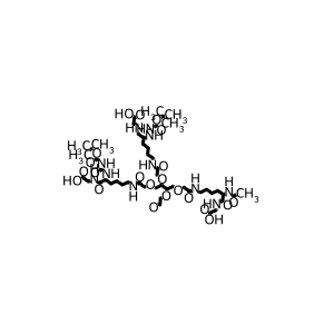 CC(=O)NC(CCCCNC(=O)COCC(OCC=O)C(COCC(=O)NCCCCC(NC(=O)NC(=O)OC(C)(C)C)C(=O)NCC(=O)O)OCC(=O)NCCCCC(CNCC(=O)O)NNC(=O)OC(C)(C)C)C(=O)NCC(=O)O